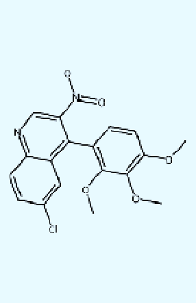 COc1ccc(-c2c([N+](=O)[O-])cnc3ccc(Cl)cc23)c(OC)c1OC